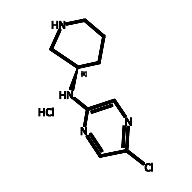 Cl.Clc1cnc(N[C@@H]2CCCNC2)cn1